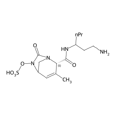 CCCC(CCN)NC(=O)[C@@H]1C(C)=CC2CN1C(=O)N2OS(=O)(=O)O